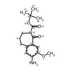 COc1cc2c(cc1N)CCCN(C(=O)OC(C)(C)C)C2=O